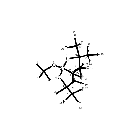 CC(C)(C)O[Si](OC(C)(CF)C(F)(F)F)(OC(C(F)(F)F)(C(F)(F)F)C(F)(F)F)C(F)(F)F